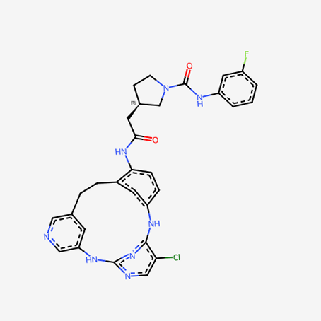 O=C(C[C@H]1CCN(C(=O)Nc2cccc(F)c2)C1)Nc1ccc2cc1CCc1cncc(c1)Nc1ncc(Cl)c(n1)N2